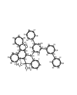 CC1(C)c2ccccc2N(c2cc(-c3ccccc3)nc(-c3cccc(-c4ccccc4)c3)n2)c2c1c1ccccc1c1c2oc2ccccc21